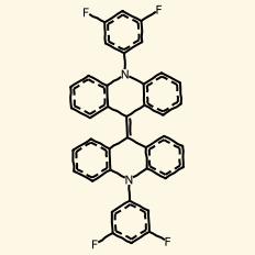 Fc1cc(F)cc(N2c3ccccc3C(=C3c4ccccc4N(c4cc(F)cc(F)c4)c4ccccc43)c3ccccc32)c1